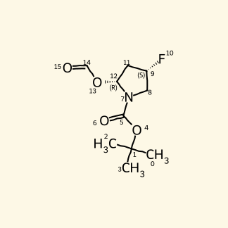 CC(C)(C)OC(=O)N1C[C@@H](F)C[C@H]1OC=O